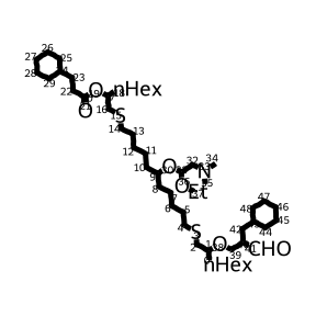 CCCCCCC(CSCCCCCC(CCCCCSCC(CCCCCC)OC(=O)CCC1CCCCC1)OC(CN(C)C)OCC)OCC(C=O)CC1CCCCC1